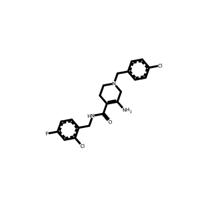 NC1=C(C(=O)NCc2ccc(F)cc2Cl)CCN(Cc2ccc(Cl)cc2)C1